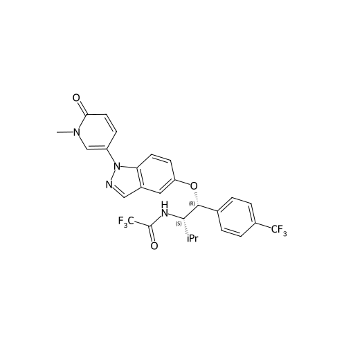 CC(C)[C@H](NC(=O)C(F)(F)F)[C@H](Oc1ccc2c(cnn2-c2ccc(=O)n(C)c2)c1)c1ccc(C(F)(F)F)cc1